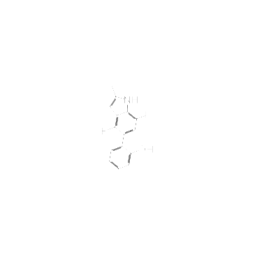 Cc1cc2c(F)c(-c3ccccc3O)cc(F)c2[nH]1